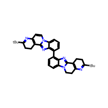 CC(C)(C)C1=NC2=C(CC1)c1nc3c(-c4cccc5c4nc4c6c(ccn45)N=C(C(C)(C)C)CC6)cccc3n1CC2